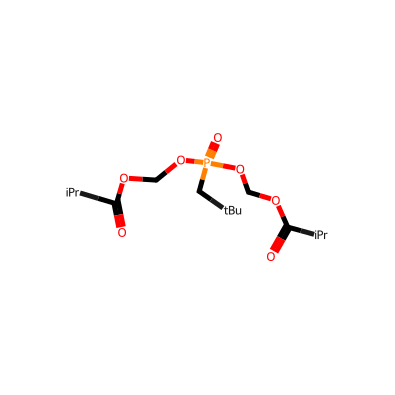 CC(C)C(=O)OCOP(=O)(CC(C)(C)C)OCOC(=O)C(C)C